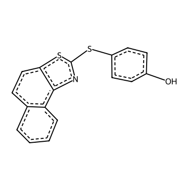 Oc1ccc(Sc2nc3c(ccc4ccccc43)s2)cc1